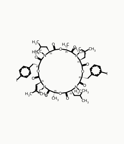 CC(C)=C[C@H]1C(=O)O[C@H](Cc2ccc(I)cc2)C(=O)N(C)[C@@H](CC(C)C)C(=O)O[C@H](C)C(=O)N(C)[C@@H](CC(C)C)C(=O)O[C@H](Cc2cccc(I)c2)C(=O)N(C)[C@@H](CC(C)C)C(=O)O[C@H](C)C(=O)N1C